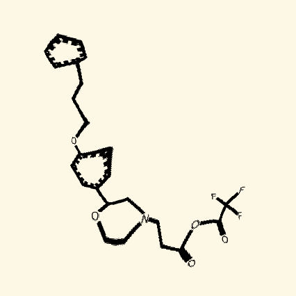 O=C(CCN1CCOC(c2ccc(OCCCc3ccccc3)cc2)C1)OC(=O)C(F)(F)F